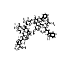 C[C@H](NC(=O)CNC(=O)[C@H](Cc1c[nH]c2ccccc12)NC(=O)[C@H](CC(=O)O)NC(=O)[C@H](CCC(N)=O)NC(=O)[C@@H](N)Cc1c[nH]c2ccccc12)C(=O)N[C@@H](Cc1c[nH]cn1)C(=O)N[C@@H](CCCNC(=N)N)C(=O)N[C@@H](CS)C(=O)N[C@H](C(N)=O)[C@@H](C)O